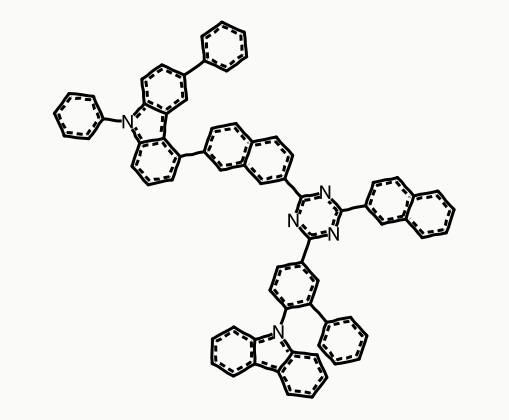 c1ccc(-c2ccc3c(c2)c2c(-c4ccc5ccc(-c6nc(-c7ccc(-n8c9ccccc9c9ccccc98)c(-c8ccccc8)c7)nc(-c7ccc8ccccc8c7)n6)cc5c4)cccc2n3-c2ccccc2)cc1